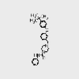 CC(C)(C)c1ccc(Oc2cccc(CN3CCN(C(=O)Nc4ccccc4)CC3)c2)cc1